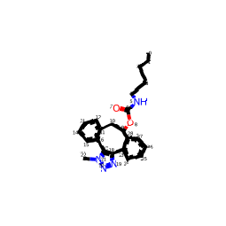 CCCCCNC(=O)OC1Cc2ccccc2-c2c(nnn2C)-c2ccccc21